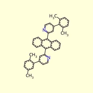 Cc1ccc(C)c(-c2ccnc(-c3c4ccccc4c(-c4cc(-c5c(C)cccc5C)ccn4)c4ccccc34)c2)c1